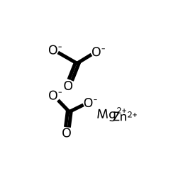 O=C([O-])[O-].O=C([O-])[O-].[Mg+2].[Zn+2]